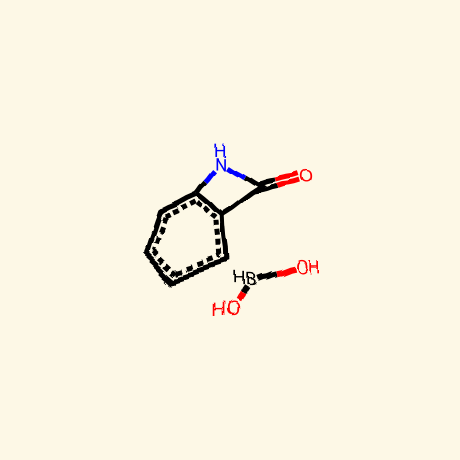 O=C1Nc2ccccc21.OBO